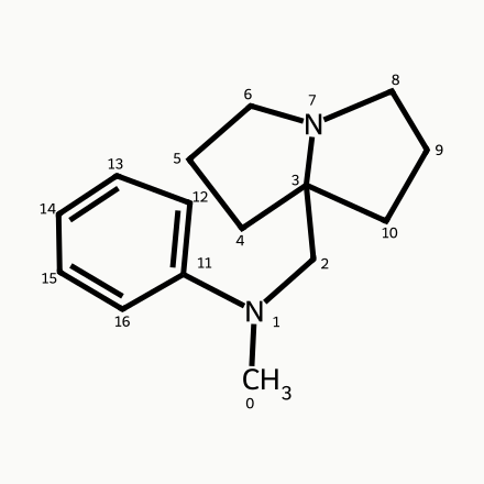 CN(CC12CCCN1CCC2)c1ccccc1